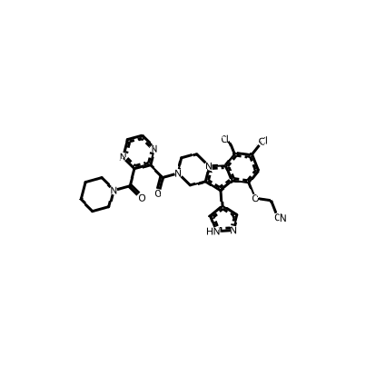 N#CCOc1cc(Cl)c(Cl)c2c1c(-c1cn[nH]c1)c1n2CCN(C(=O)c2nccnc2C(=O)N2CCCCC2)C1